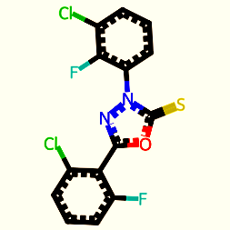 Fc1cccc(Cl)c1-c1nn(-c2cccc(Cl)c2F)c(=S)o1